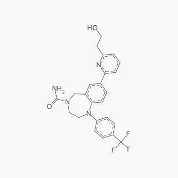 NC(=O)N1CCN(c2ccc(C(F)(F)F)cc2)c2ccc(-c3cccc(CCO)n3)cc2C1